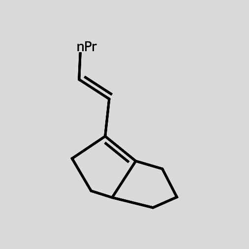 CCC/C=C/C1=C2CCCC2CC1